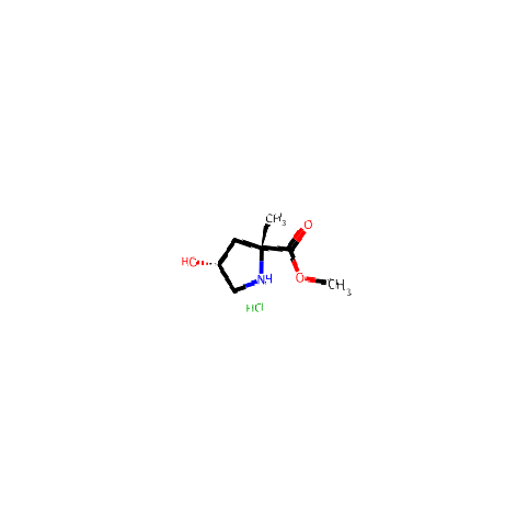 COC(=O)[C@@]1(C)C[C@@H](O)CN1.Cl